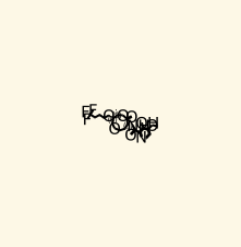 COc1ccnc(C(=O)N[C@H]2CCOC[C@@H](OCCCC(F)(F)F)[C@H](C)OC2=O)c1O